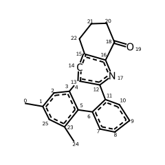 Cc1cc(C)c(-c2ccccc2-c2ccc3c(n2)C(=O)CCC3)c(C)c1